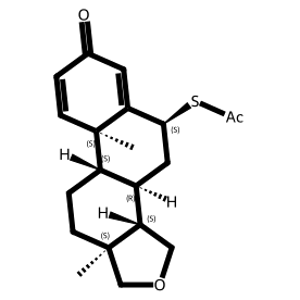 CC(=O)S[C@H]1C[C@H]2[C@@H]3COC[C@@]3(C)CC[C@@H]2[C@@]2(C)C=CC(=O)C=C12